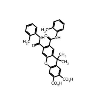 Cc1ccccc1NC(=O)c1cc2c(cc1C(=O)Nc1ccccc1C)C(C)(C)c1cc(C(=O)O)c(C(=O)O)cc1O2